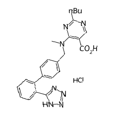 CCCCc1ncc(C(=O)O)c(N(C)Cc2ccc(-c3ccccc3-c3nnn[nH]3)cc2)n1.Cl